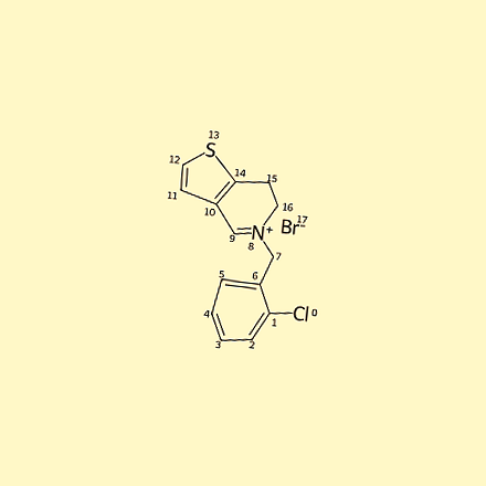 Clc1ccccc1C[N+]1=Cc2ccsc2CC1.[Br-]